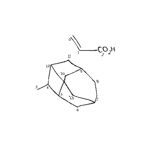 C=CC(=O)O.CC1C2CC3CC(C2)CC1C3